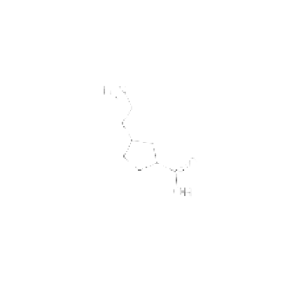 NCCC1CCC(C(=O)O)C1